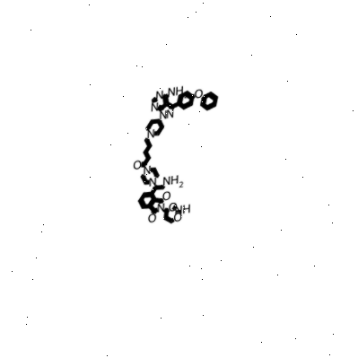 NCC(c1cccc2c1C(=O)N(C1CCONO1)C2=O)N1CCN(C(=O)CCCCN2CCC(n3nc(-c4ccc(Oc5ccccc5)cc4)c4c(N)ncnc43)CC2)CC1